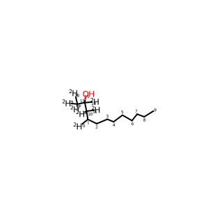 [2H]C(CCCCCCCC)C([2H])([2H])C([2H])(O)C([2H])([2H])[2H]